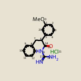 COc1cccc(C(Cc2ccccc2)C(=O)NC(=N)N)c1.Cl